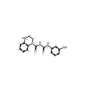 CCCc1cccc(NC(=O)NC(=O)N2CCNc3c[c]ccc32)c1